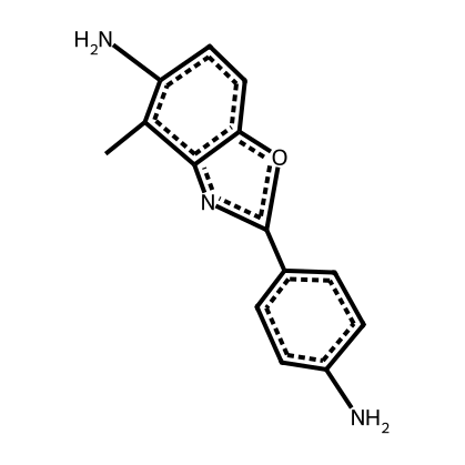 Cc1c(N)ccc2oc(-c3ccc(N)cc3)nc12